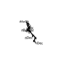 CCCCCCCCCCCCN(C)CCCN(C)CCCN(CCCCCCCCCCCC)CCCCCC(=O)Nc1nc(OCCCC)nc2c1NC(=O)C2Cc1cccc(CC(=O)OC)c1